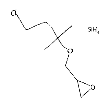 CC(C)(CCCl)OCC1CO1.[SiH4]